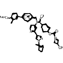 COc1ccc(C23CCC(CN(C(=O)C4CCC(OC(=O)N5CC(O)C5)CC4)c4ccnc(-c5cnn(C6(C)CCC6)c5)c4)(CC2)CC3)cc1C